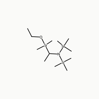 CCO[Si](C)(C)C(C)N([Si](C)(C)C)[Si](C)(C)C